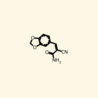 N#CC(=Cc1ccc2c(c1)OCO2)C(N)=O